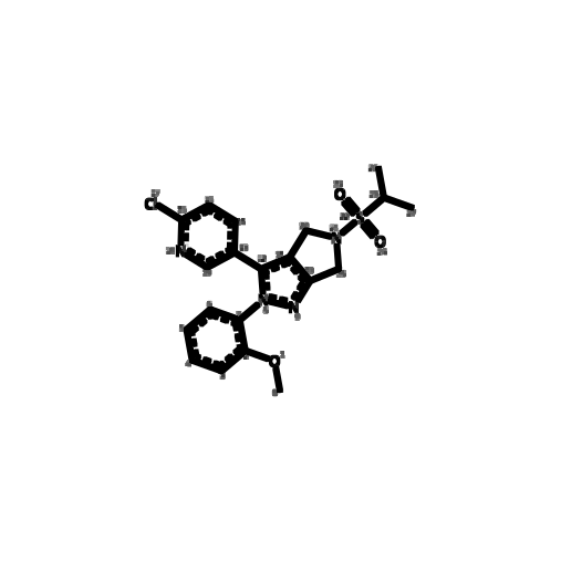 COc1ccccc1-n1nc2c(c1-c1ccc(Cl)nc1)CN(S(=O)(=O)C(C)C)C2